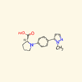 Cn1nccc1-c1ccc(N2CCC[C@H]2C(=O)O)cc1